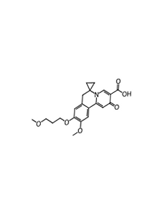 COCCCOc1cc2c(cc1OC)-c1cc(=O)c(C(=O)O)cn1C1(CC1)C2